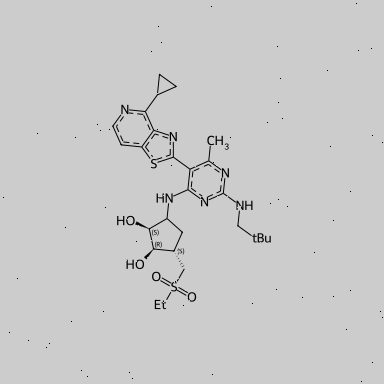 CCS(=O)(=O)C[C@H]1CC(Nc2nc(NCC(C)(C)C)nc(C)c2-c2nc3c(C4CC4)nccc3s2)[C@H](O)[C@@H]1O